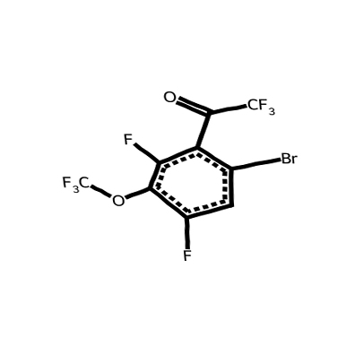 O=C(c1c(Br)cc(F)c(OC(F)(F)F)c1F)C(F)(F)F